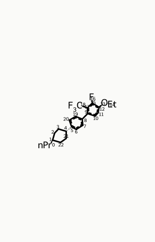 CCC[C@H]1CC[C@H](c2ccc(-c3ccc(OCC)c(F)c3C(F)(F)F)cc2)CC1